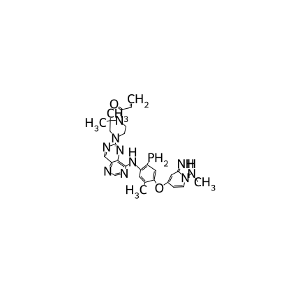 C=CC(=O)N1CCN(c2ncc3ncnc(Nc4cc(C)c(Oc5ccn(NC)c(=N)c5)cc4P)c3n2)CC1(C)C